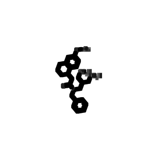 CCCCOc1ccc2c(c1)CCCC2CC(=O)N(Cc1ccccc1)CC(CC(=O)O)CC(=O)O